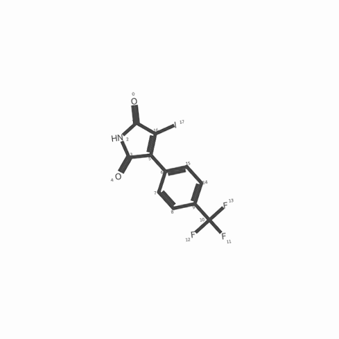 O=C1NC(=O)C(c2ccc(C(F)(F)F)cc2)=C1I